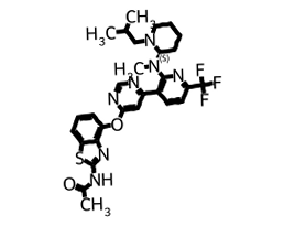 CC(=O)Nc1nc2c(Oc3cc(-c4ccc(C(F)(F)F)nc4N(C)[C@H]4CCCCN4CC(C)C)ncn3)cccc2s1